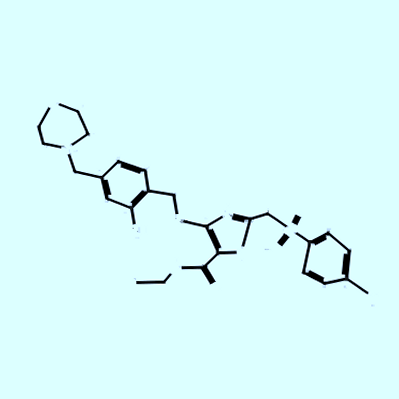 CCOC(=O)c1sc(CS(=O)(=O)c2ccc(Cl)cc2)nc1NCc1ccc(CN2CCOCC2)cc1N